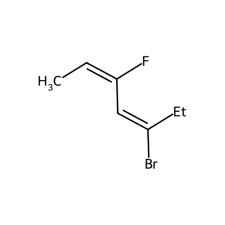 C/C=C(F)\C=C(\Br)CC